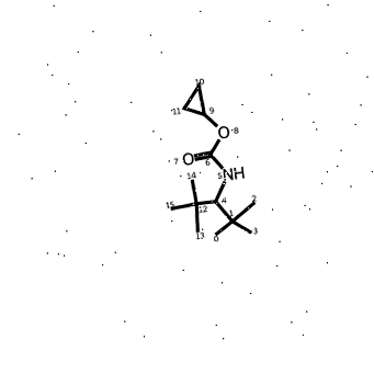 CC(C)(C)C(NC(=O)OC1CC1)C(C)(C)C